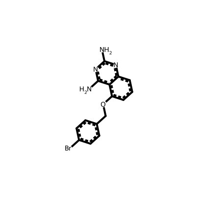 Nc1nc(N)c2c(OCc3ccc(Br)cc3)cccc2n1